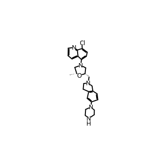 C[C@@H]1CN(c2ccc(Cl)c3ncccc23)C[C@H](CN2CCc3cc(N4CCNCC4)ccc3C2)O1